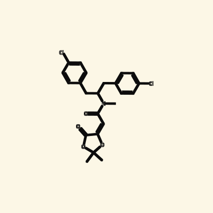 CN(C(=O)C=C1OC(C)(C)OC1=O)C(Cc1ccc(Cl)cc1)Cc1ccc(Cl)cc1